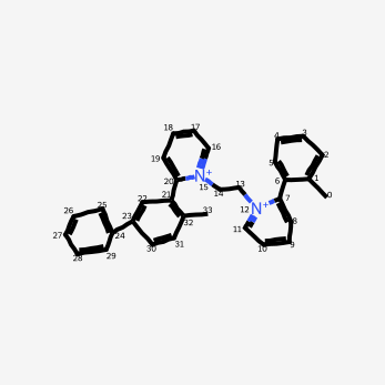 Cc1ccccc1-c1cccc[n+]1CC[n+]1ccccc1-c1cc(-c2ccccc2)ccc1C